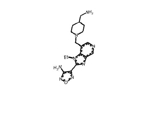 CCn1c(-c2nonc2N)nc2cncc(CN3CCC(CN)CC3)c21